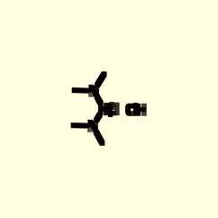 C[N](C)[Hf][N](C)C.Cl.Cl